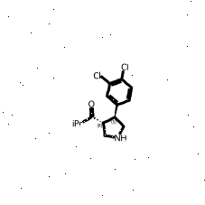 CC(C)C(=O)[C@H]1CNC[C@@H]1c1ccc(Cl)c(Cl)c1